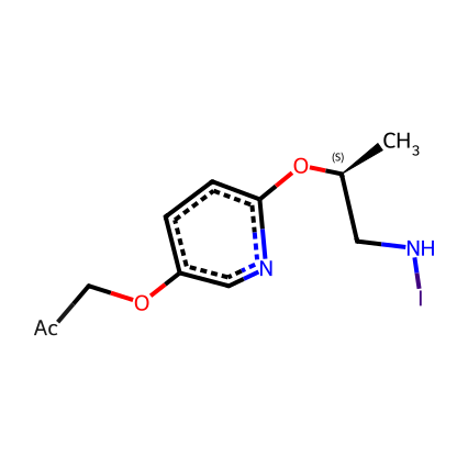 CC(=O)COc1ccc(O[C@@H](C)CNI)nc1